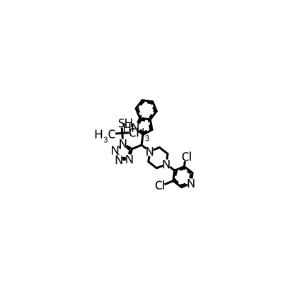 CC(C)(S)n1nnnc1C(c1cc2ccccc2[nH]1)N1CCN(c2c(Cl)cncc2Cl)CC1